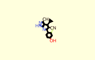 Cc1n[nH]c2nc(-c3ccc(O)cc3F)c(C#N)c(C3CC3)c12